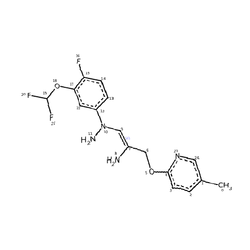 Cc1ccc(OC/C(N)=C/N(N)c2ccc(F)c(OC(F)F)c2)nc1